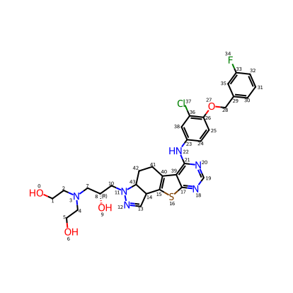 OCCN(CCO)C[C@@H](O)CN1N=CC2c3sc4ncnc(Nc5ccc(OCc6cccc(F)c6)c(Cl)c5)c4c3CCC21